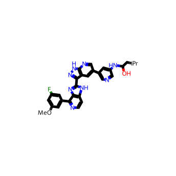 COc1cc(F)cc(-c2nccc3[nH]c(-c4n[nH]c5ncc(-c6cncc(NC(O)CC(C)C)c6)cc45)nc23)c1